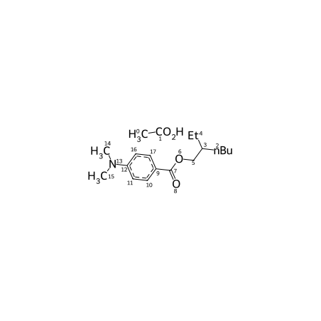 CC(=O)O.CCCCC(CC)COC(=O)c1ccc(N(C)C)cc1